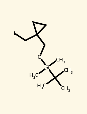 CC(C)(C)[Si](C)(C)OCC1(CI)CC1